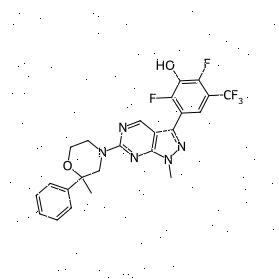 Cn1nc(-c2cc(C(F)(F)F)c(F)c(O)c2F)c2cnc(N3CCOC(C)(c4ccccc4)C3)nc21